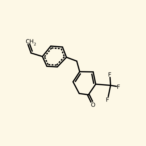 C=Cc1ccc(CC2=CCC(=O)C(C(F)(F)F)=C2)cc1